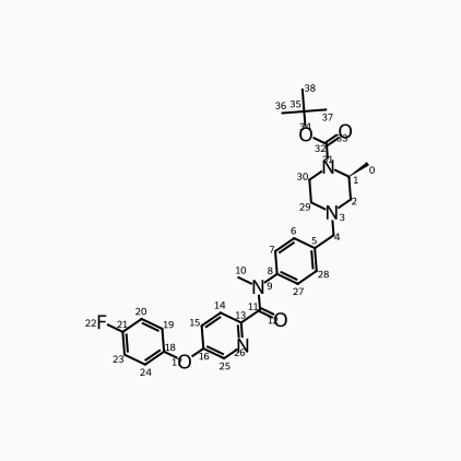 C[C@H]1CN(Cc2ccc(N(C)C(=O)c3ccc(Oc4ccc(F)cc4)cn3)cc2)CCN1C(=O)OC(C)(C)C